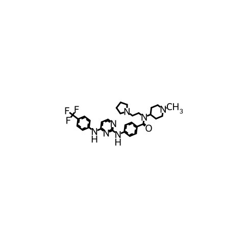 CN1CCC(N(CCN2CCCC2)C(=O)c2ccc(Nc3nccc(Nc4ccc(C(F)(F)F)cc4)n3)cc2)CC1